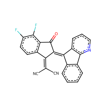 N#CC(C#N)=C1/C(=C2\c3ccccc3-c3ncccc32)C(=O)c2c1ccc(F)c2F